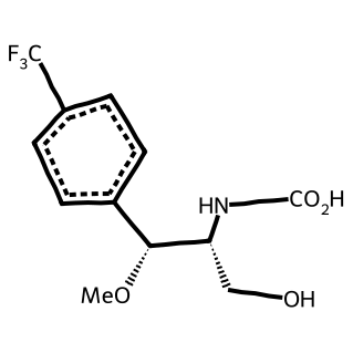 CO[C@H](c1ccc(C(F)(F)F)cc1)[C@@H](CO)NC(=O)O